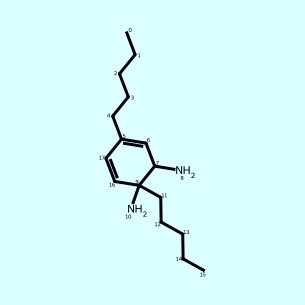 CCCCCC1=CC(N)C(N)(CCCCC)C=C1